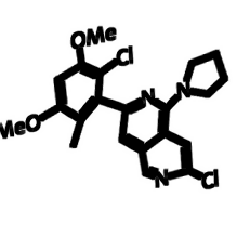 COc1cc(OC)c(Cl)c(-c2cc3cnc(Cl)cc3c(N3CCCC3)n2)c1C